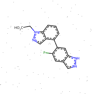 O=C(O)Cn1ncc2c(-c3cc4[nH]ncc4cc3F)cccc21